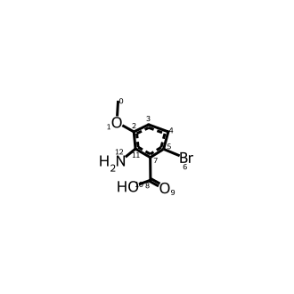 COc1ccc(Br)c(C(=O)O)c1N